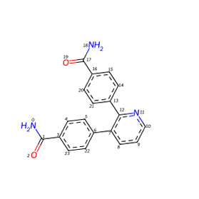 NC(=O)c1ccc(-c2cccnc2-c2ccc(C(N)=O)cc2)cc1